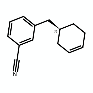 N#Cc1cccc(C[C@@H]2CC=CCC2)c1